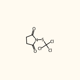 O=C1CCC(=O)N1SC(Cl)(Cl)Cl